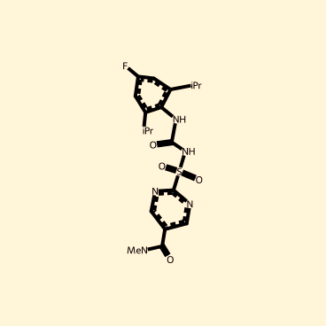 CNC(=O)c1cnc(S(=O)(=O)NC(=O)Nc2c(C(C)C)cc(F)cc2C(C)C)nc1